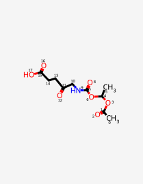 CC(=O)OC(C)OC(=O)NCC(=O)CCC(=O)O